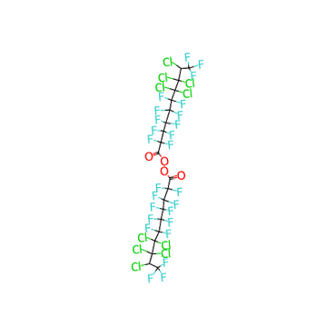 O=C(OOC(=O)C(F)(F)C(F)(F)C(F)(F)C(F)(F)C(F)(F)C(Cl)(Cl)C(Cl)(Cl)C(Cl)C(F)(F)F)C(F)(F)C(F)(F)C(F)(F)C(F)(F)C(F)(F)C(Cl)(Cl)C(Cl)(Cl)C(Cl)C(F)(F)F